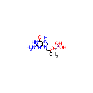 CC(CN1CNc2c1nc(N)[nH]c2=O)OCP(O)O